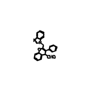 O=CC1C(c2ccccc2)=C(Cn2cnc3ccccc32)Oc2ccccc21